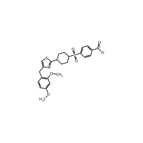 COc1ccc(Cc2csc(N3CCC(S(=O)(=O)c4ccc([N+](=O)[O-])cc4)CC3)n2)c(OC)c1